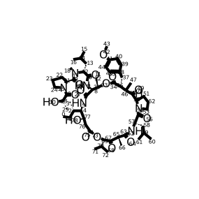 CC[C@H](C)[C@H]1NC(=O)[C@@H](NC(=O)[C@@H](CC(C)C)N(C)C(=O)[C@@H]2CCCN2C(=O)[C@H](C)O)[C@@H](C)OC(=O)[C@H](Cc2ccc(OC)cc2)C(C)C(=O)[C@@H]2CCCN2C(=O)[C@H](CC(C)C)NC(=O)[C@@H](C)C(=O)[C@H](C(C)C)OC(=O)C[C@@H]1O